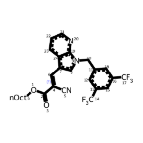 CCCCCCCCOC(=O)/C(C#N)=C/c1cn(Cc2cc(C(F)(F)F)cc(C(F)(F)F)c2)c2ncccc12